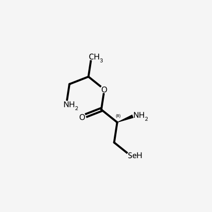 CC(CN)OC(=O)[C@@H](N)C[SeH]